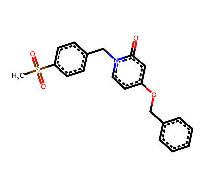 CS(=O)(=O)c1ccc(Cn2ccc(OCc3ccccc3)cc2=O)cc1